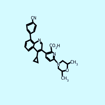 CC1CN(c2ccc(-c3cnc4c(-c5ccc(C#N)cc5)cccc4c3C3CC3)c(C(=O)O)n2)CC(C)O1